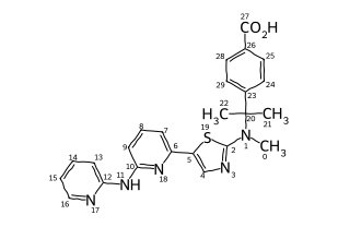 CN(c1ncc(-c2cccc(Nc3ccccn3)n2)s1)C(C)(C)c1ccc(C(=O)O)cc1